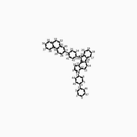 c1ccc(-c2ccc(-n3ccc4c3ccc3c5ccccc5n(-c5ccc(-c6ccc7c(ccc8ccccc87)c6)cc5)c34)cc2)cc1